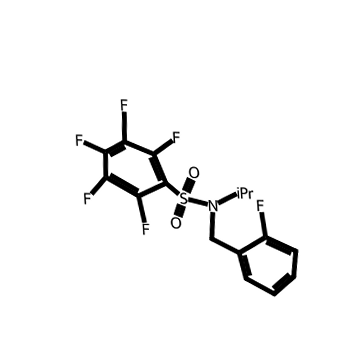 CC(C)N(Cc1ccccc1F)S(=O)(=O)c1c(F)c(F)c(F)c(F)c1F